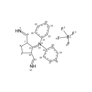 F[B-](F)(F)F.N=CC1CCC(C=N)C1=[N+](c1ccccc1)c1ccccc1